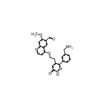 COc1cc2nccc(OCCc3cc(=O)[nH]nc3-c3cccc(CN)c3)c2cc1C=O